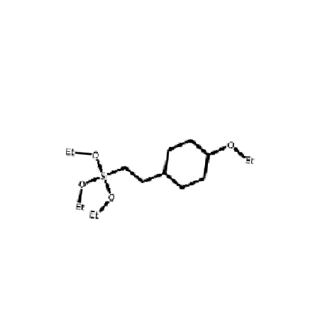 CCOC1CCC(CC[Si](OCC)(OCC)OCC)CC1